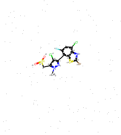 Cn1nc(-c2c(F)cc(Cl)c3nc(Br)sc23)c(Cl)c1C[SH](=O)=O